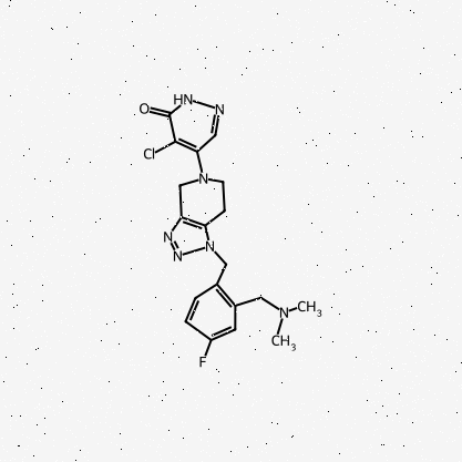 CN(C)Cc1cc(F)ccc1Cn1nnc2c1CCN(c1cn[nH]c(=O)c1Cl)C2